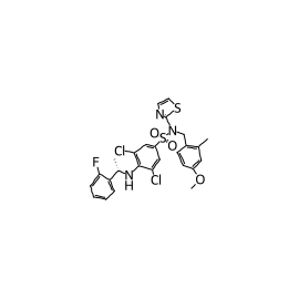 COc1ccc(CN(c2nccs2)S(=O)(=O)c2cc(Cl)c(N[C@@H](C)c3ccccc3F)c(Cl)c2)c(C)c1